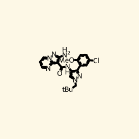 COc1ccc(Cl)cc1-c1nn(CC(C)(C)C)cc1NC(=O)c1c(N)nn2cccnc12